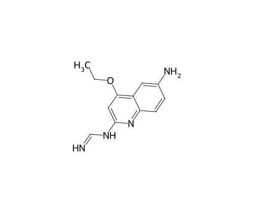 CCOc1cc(NC=N)nc2ccc(N)cc12